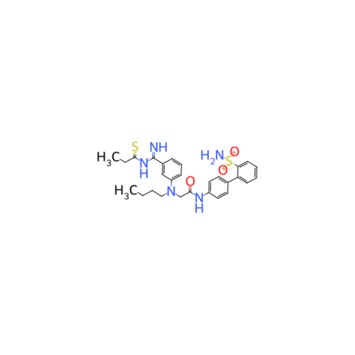 CCCCN(CC(=O)Nc1ccc(-c2ccccc2S(N)(=O)=O)cc1)c1cccc(C(=N)NC(=S)CC)c1